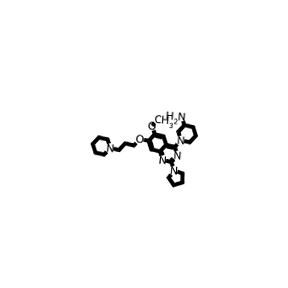 COc1cc2c(N3CCCC(N)C3)nc(N3CCCC3)nc2cc1OCCCN1CCCCC1